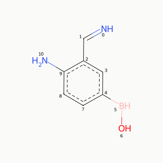 N=Cc1cc(BO)ccc1N